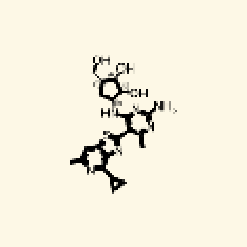 Cc1cc2sc(-c3c(C)nc(N)nc3N[C@@H]3C[C@H](CO)[C@@H](O)[C@H]3O)nc2c(C2CC2)n1